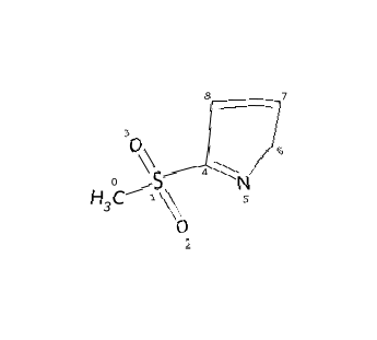 CS(=O)(=O)C1=NCC=C1